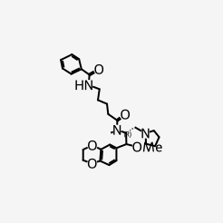 COC(c1ccc2c(c1)OCCO2)[C@@H](CN1CCCC1)N(C)C(=O)CCCCNC(=O)c1ccccc1